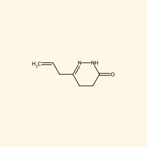 C=CCC1=NNC(=O)CC1